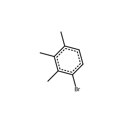 Cc1ccc(Br)c(C)c1C